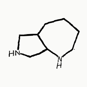 [CH]1CCCC2CNCC2N1